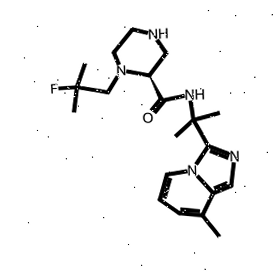 Cc1cccn2c(C(C)(C)NC(=O)[C@@H]3CNCCN3CC(C)(C)F)ncc12